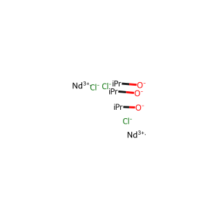 CC(C)[O-].CC(C)[O-].CC(C)[O-].[Cl-].[Cl-].[Cl-].[Nd+3].[Nd+3]